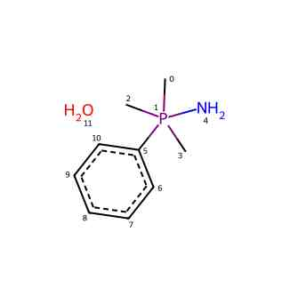 CP(C)(C)(N)c1ccccc1.O